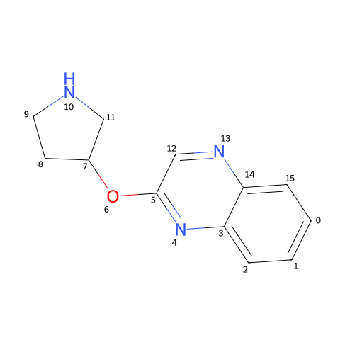 c1ccc2nc(OC3CCNC3)cnc2c1